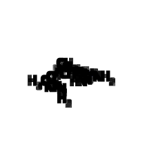 CC(C)(CCOC(C)(N)CCN)OCCOC/C(=C/N)N=N